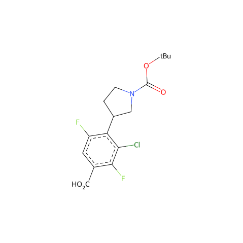 CC(C)(C)OC(=O)N1CCC(c2c(F)cc(C(=O)O)c(F)c2Cl)C1